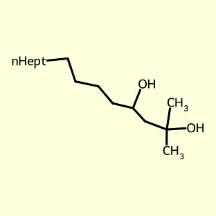 CCCCCCCCCCCC(O)CC(C)(C)O